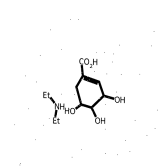 CCNCC.O=C(O)C1=CC(O)C(O)C(O)C1